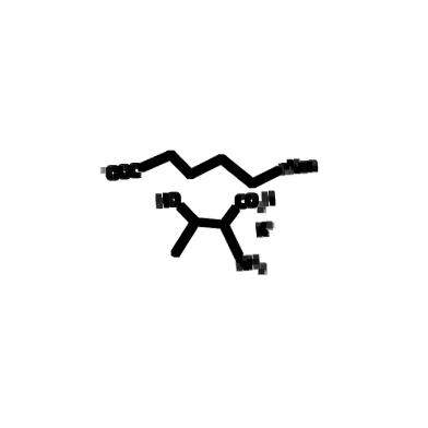 CC(O)C(N)C(=O)O.CCCCCCCCCCCCCC(=O)[O-].[K+]